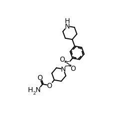 NC(=O)OC1CCN(S(=O)(=O)c2cccc(C3CCNCC3)c2)CC1